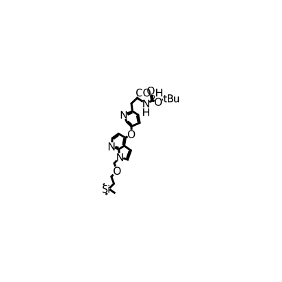 CC(C)(C)OC(=O)N[C@@H](Cc1ccc(Oc2ccnc3c2ccn3COCC[Si](C)(C)C)cn1)C(=O)O